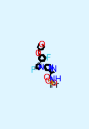 CC(C)S(=O)(=O)NC(=O)c1cnn2ccc(N3C[C@@H](F)C[C@@H]3c3cc(F)cc(OC4CCOCC4)c3)cc12